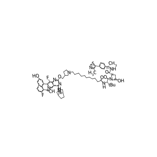 C#Cc1c(F)ccc2cc(O)cc(-c3ncc4c(N5CC6CCC(C5)N6)nc(OCC5CCN(CCCCCCCCCCC(=O)NC(C(=O)N6C[C@H](O)C[C@H]6C(=O)N[C@@H](C)c6ccc(-c7scnc7C)cc6)C(C)(C)C)C5)nc4c3F)c12